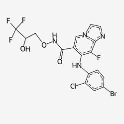 O=C(NOCC(O)C(F)(F)F)c1cn2ccnc2c(F)c1Nc1ccc(Br)cc1Cl